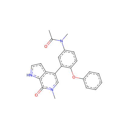 CC(=O)N(C)c1ccc(Oc2ccccc2)c(-c2cn(C)c(=O)c3[nH]ccc23)c1